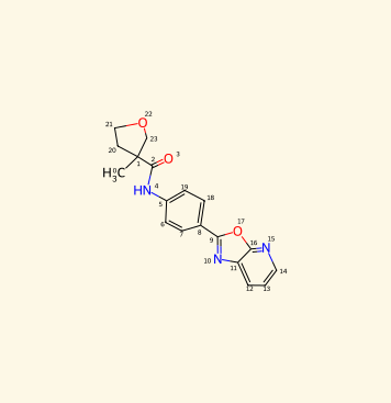 CC1(C(=O)Nc2ccc(-c3nc4cccnc4o3)cc2)CCOC1